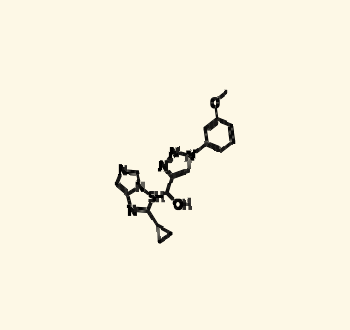 COc1cccc(-n2cc(C(O)[SH]3C(C4CC4)=Nc4cncn43)nn2)c1